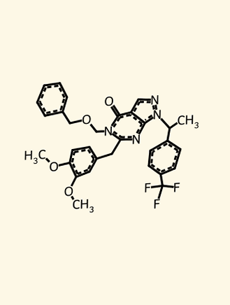 COc1ccc(Cc2nc3c(cnn3C(C)c3ccc(C(F)(F)F)cc3)c(=O)n2COCc2ccccc2)cc1OC